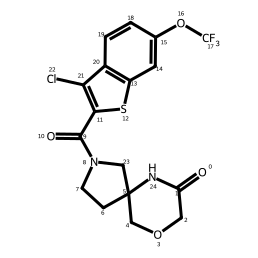 O=C1COCC2(CCN(C(=O)c3sc4cc(OC(F)(F)F)ccc4c3Cl)C2)N1